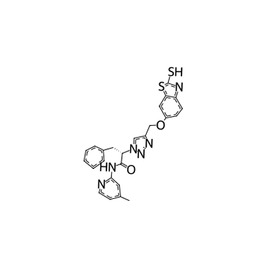 Cc1ccnc(NC(=O)[C@H](Cc2ccccc2)n2cc(COc3ccc4nc(S)sc4c3)nn2)c1